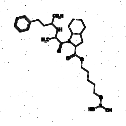 CC(NC(CCc1ccccc1)C(=O)O)C(=O)N1C(C(=O)OCCCCCON(O)O)CC2CCCCC21